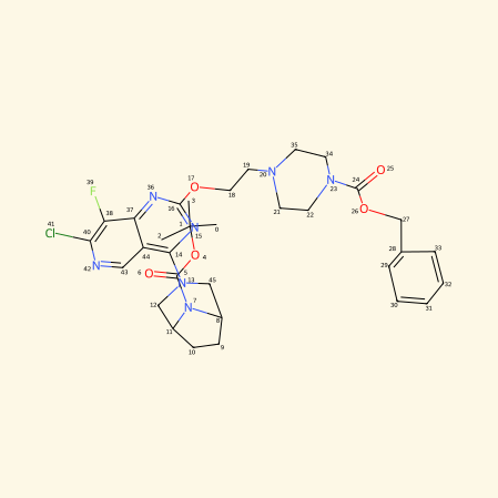 CC(C)(C)OC(=O)N1C2CCC1CN(c1nc(OCCN3CCN(C(=O)OCc4ccccc4)CC3)nc3c(F)c(Cl)ncc13)C2